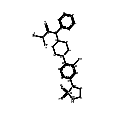 CCN(CC)C(=O)C(c1ccccc1)N1CCN(c2ccc(N3CCNS3(=O)=O)cc2F)CC1